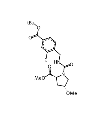 COC(=O)[C@@H]1C[C@@H](OC)CN1C(=O)NCc1ccc(C(=O)OC(C)(C)C)cc1Cl